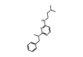 CN(C)CCNc1ccnc(N(C)Cc2ccccc2)n1